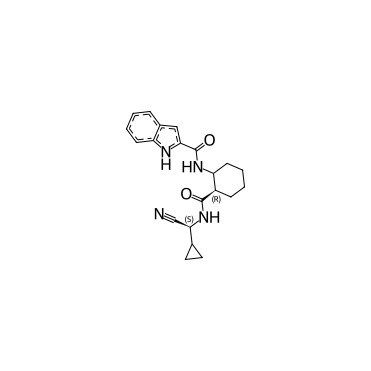 N#C[C@@H](NC(=O)[C@@H]1CCCCC1NC(=O)c1cc2ccccc2[nH]1)C1CC1